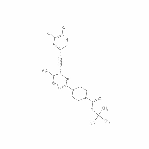 CC(C)C(C#Cc1ccc(Cl)c(Cl)c1)NC(=O)N1CCN(C(=O)OC(C)(C)C)CC1